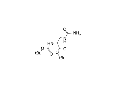 CC(C)(C)OC(=O)NC(CNC(N)=O)C(=O)OC(C)(C)C